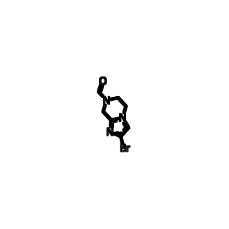 O=CN1CCn2cc(Br)nc2C1